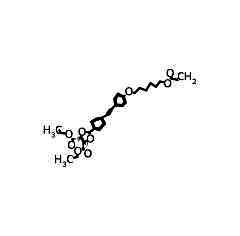 C=CC(=O)OCCCCCCOc1ccc(C#Cc2ccc(C3O[C@@H](C(=O)OCC)[C@H](C(=O)OCC)O3)cc2)cc1